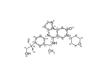 C[C@@H](Nc1nc2ccnn2c2cc(=O)n(C3CCOCC3)cc12)c1cccc(C(F)(F)CO)c1